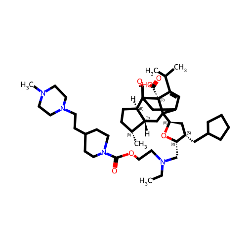 CCN(CCOC(=O)N1CCC(CCN2CCN(C)CC2)CC1)C[C@@H]1O[C@@H](C23C[C@@H]4[C@H](C)CC[C@H]4C4(C=O)CC2C=C(C(C)C)[C@]43C(=O)O)C[C@@H]1CC1CCCC1